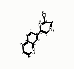 Clc1cncc(-c2ccc3cccnc3c2)n1